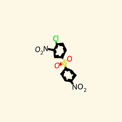 O=[N+]([O-])c1ccc(S(=O)(=O)c2ccc(Cl)c([N+](=O)[O-])c2)cc1